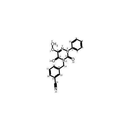 COc1nn(-c2ccccc2)c(=O)n(Cc2cccc(C#N)c2)c1=O